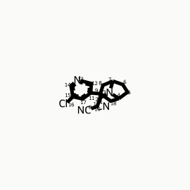 N#CCCN1C2CCC1CC(C#N)(c1cncc(Cl)c1)C2